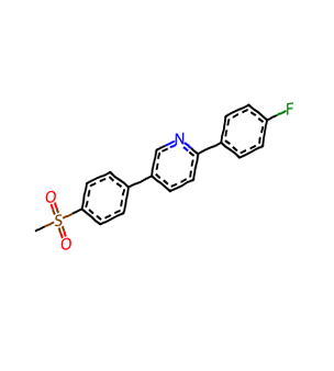 CS(=O)(=O)c1ccc(-c2ccc(-c3ccc(F)cc3)nc2)cc1